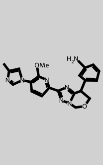 COc1nc(-c2nc3n(n2)COCC3c2cccc(N)c2)ccc1-n1cnc(C)c1